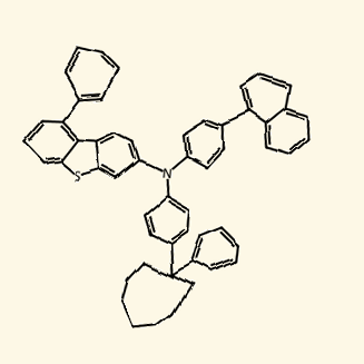 c1ccc(-c2cccc3sc4cc(N(c5ccc(-c6cccc7ccccc67)cc5)c5ccc(C6(c7ccccc7)CCCCCCC6)cc5)ccc4c23)cc1